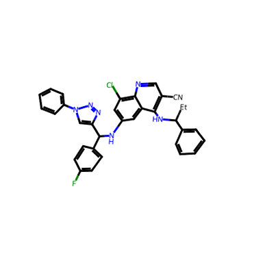 CCC(Nc1c(C#N)cnc2c(Cl)cc(NC(c3ccc(F)cc3)c3cn(-c4ccccc4)nn3)cc12)c1ccccc1